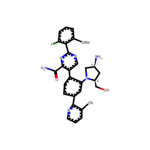 COc1cccc(F)c1-c1ncc(-c2ccc(-c3ncccc3C#N)cc2N2C[C@@H](N)C[C@H]2CO)c(C(N)=O)n1